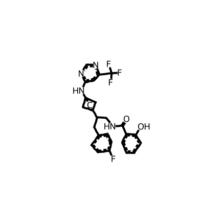 O=C(NCC(Cc1ccc(F)cc1)C12CC(Nc3cc(C(F)(F)F)ncn3)(C1)C2)c1ccccc1O